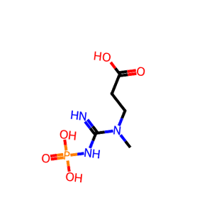 CN(CCC(=O)O)C(=N)NP(=O)(O)O